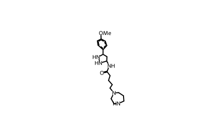 COc1ccc(C2CC(NC(=O)CCCCN3CCCNCC3)NN2)cc1